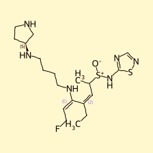 CCC(=C/C(C)[S+]([O-])Nc1ncns1)/C(=C\CF)NCCCCN[C@H]1CCNC1